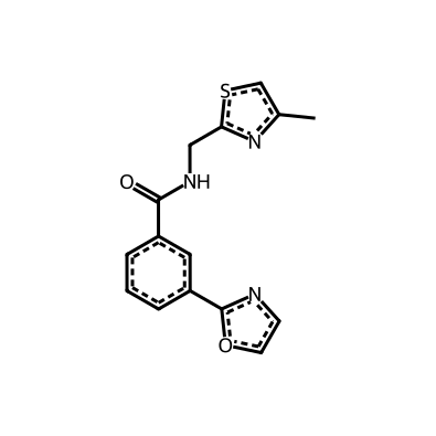 Cc1csc(CNC(=O)c2cccc(-c3ncco3)c2)n1